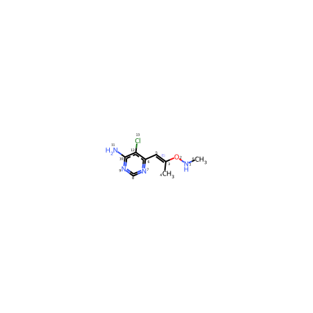 CNO/C(C)=C/c1ncnc(N)c1Cl